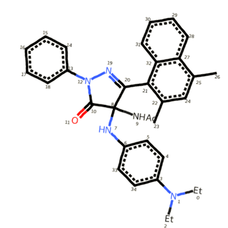 CCN(CC)c1ccc(NC2(NC(C)=O)C(=O)N(c3ccccc3)N=C2c2c(C)cc(C)c3ccccc23)cc1